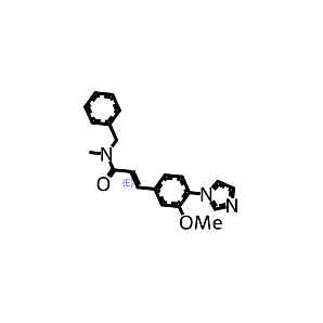 COc1cc(/C=C/C(=O)N(C)Cc2ccccc2)ccc1-n1ccnc1